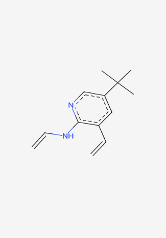 C=CNc1ncc(C(C)(C)C)cc1C=C